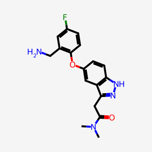 CN(C)C(=O)Cc1n[nH]c2ccc(Oc3ccc(F)cc3CN)cc12